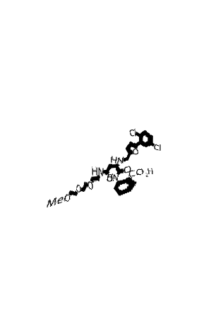 COCCOCCOCCNC(=O)CC(NCc1ccc(-c2cc(Cl)ccc2Cl)o1)C(=O)Nc1ccccc1C(=O)O